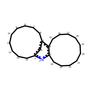 c1c2nc3c(c1CCCCCCCCC2)CCCCCCCCCC3